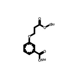 COC(=O)c1cccc(OCCC(=O)OC(C)(C)C)c1